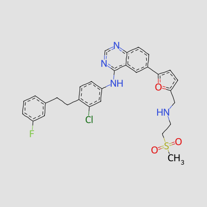 CS(=O)(=O)CCNCc1ccc(-c2ccc3ncnc(Nc4ccc(CCc5cccc(F)c5)c(Cl)c4)c3c2)o1